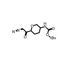 CC(C)(C)OC(=O)NC1CCC(C(=O)C=[N+]=[N-])OC1